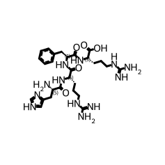 N=C(N)NCCC[C@H](NC(=O)[C@H](Cc1ccccc1)NC(=O)[C@H](CCCNC(=N)N)NC(=O)[C@@H](N)Cc1c[nH]cn1)C(=O)O